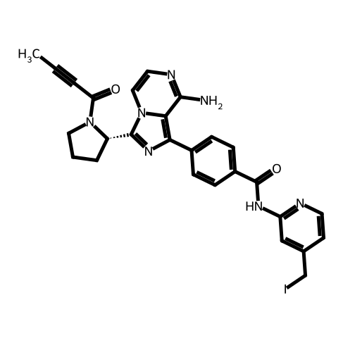 CC#CC(=O)N1CCC[C@H]1c1nc(-c2ccc(C(=O)Nc3cc(CI)ccn3)cc2)c2c(N)nccn12